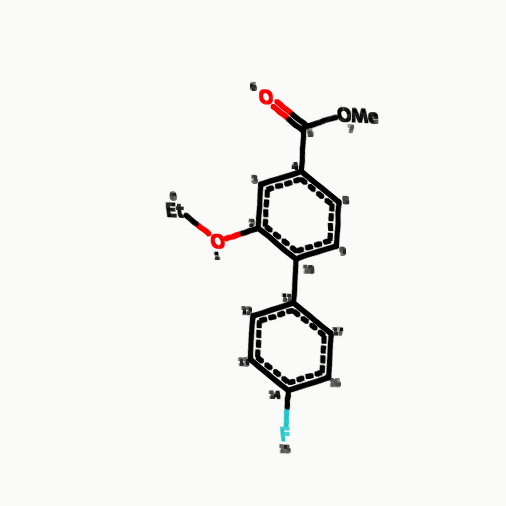 CCOc1cc(C(=O)OC)ccc1-c1ccc(F)cc1